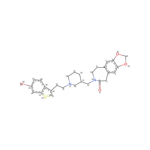 O=C1Cc2cc3c(cc2CCN1CC1CCCN(CCc2csc4cc(Br)ccc24)C1)OCO3